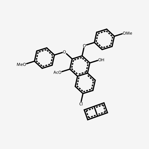 COc1ccc(Oc2c(Oc3ccc(OC)cc3)c(OC(C)=O)c3cc(Cl)ccc3c2O)cc1.c1cc2ccc1-2